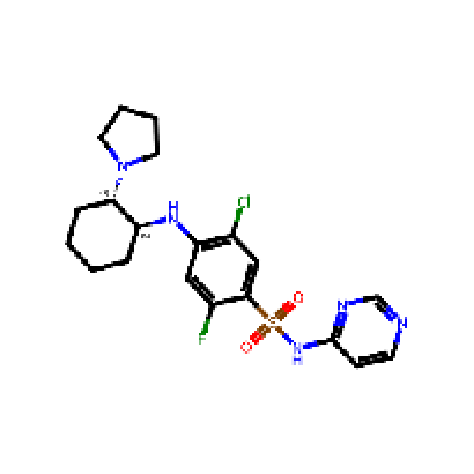 O=S(=O)(Nc1ccncn1)c1cc(Cl)c(N[C@H]2CCCC[C@@H]2N2CCCC2)cc1F